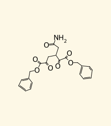 NC(=O)CC(CC(=O)C(=O)OCc1ccccc1)C(=O)C(=O)OCc1ccccc1